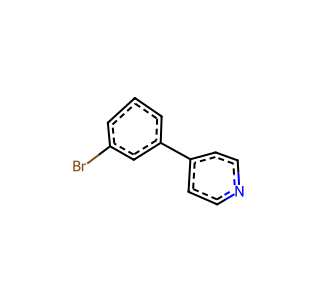 Brc1cccc(-c2ccncc2)c1